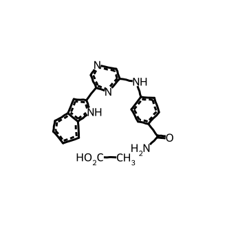 CC(=O)O.NC(=O)c1ccc(Nc2cncc(-c3cc4ccccc4[nH]3)n2)cc1